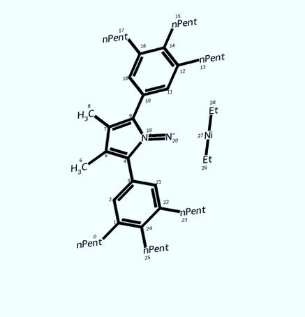 CCCCCc1cc(C2=C(C)C(C)=C(c3cc(CCCCC)c(CCCCC)c(CCCCC)c3)[N+]2=[N-])cc(CCCCC)c1CCCCC.C[CH2][Ni][CH2]C